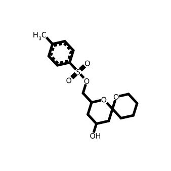 Cc1ccc(S(=O)(=O)OCC2CC(O)CC3(CCCCO3)O2)cc1